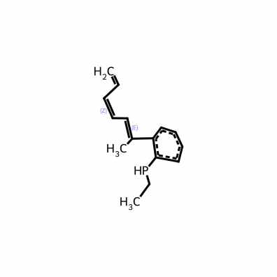 C=C/C=C\C=C(/C)c1ccccc1PCC